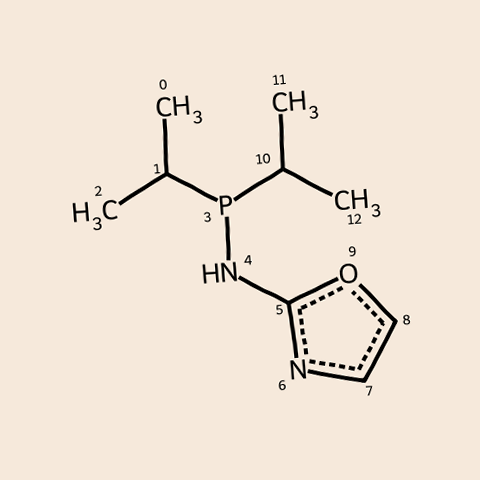 CC(C)P(Nc1ncco1)C(C)C